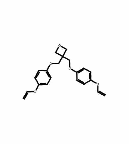 C=COc1ccc(OCC2(COc3ccc(OC=C)cc3)COC2)cc1